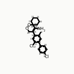 Cc1cc(-c2ccc(Cl)cc2)c(Cl)cc1C1=C(N)C2(CCCCC2)OOC1